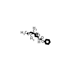 COCC(C)(C)c1cc(NC(=O)Oc2ccccc2)on1